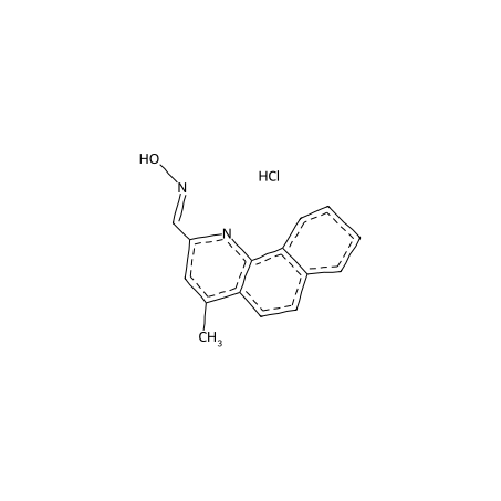 Cc1cc(C=NO)nc2c1ccc1ccccc12.Cl